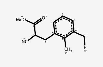 COC(=O)C(C#N)Cc1cccc(CF)c1C